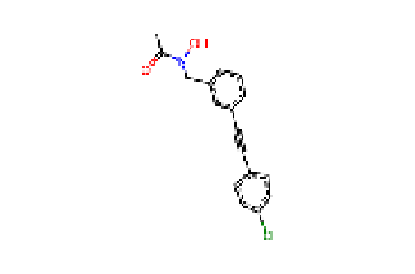 CC(=O)N(O)Cc1cccc(C#Cc2ccc(Cl)cc2)c1